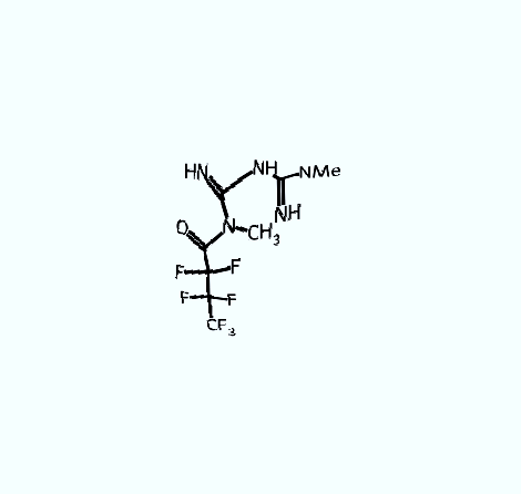 CNC(=N)NC(=N)N(C)C(=O)C(F)(F)C(F)(F)C(F)(F)F